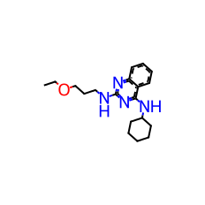 CCOCCCNc1nc(NC2CCCCC2)c2ccccc2n1